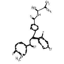 CC(O)C(O)NC(=O)c1ccc(C(CC(=O)c2ccc(=O)n(C)c2)c2ccc(Cl)cc2F)cc1